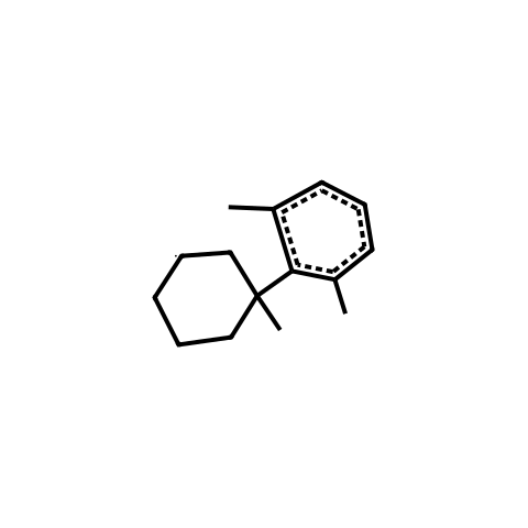 Cc1cccc(C)c1C1(C)C[CH]CCC1